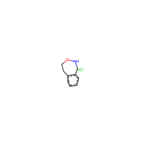 Cl.c1ccc2c(c1)CCONC2